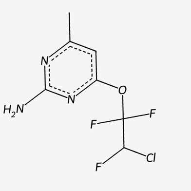 Cc1cc(OC(F)(F)C(F)Cl)nc(N)n1